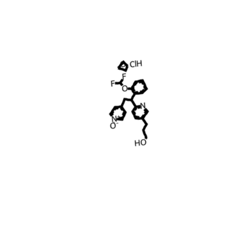 C1C2CC1O2.Cl.[O-][n+]1ccc(CC(c2ccc(CCCO)cn2)c2ccccc2OC(F)F)cc1